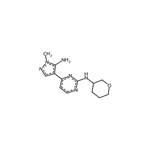 Cn1ncc(-c2ccnc(NC3CCCOC3)n2)c1N